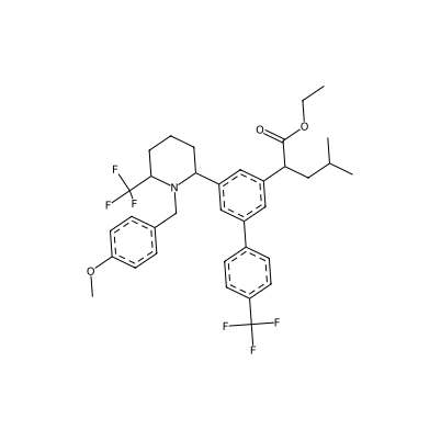 CCOC(=O)C(CC(C)C)c1cc(-c2ccc(C(F)(F)F)cc2)cc(C2CCCC(C(F)(F)F)N2Cc2ccc(OC)cc2)c1